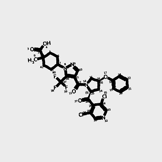 CC1(C(=O)O)CCC(n2ncc(C(=O)N3C[C@@H](Oc4ccccc4)C[C@H]3C(=O)c3c(Cl)cncc3Cl)c2C(F)(F)F)CC1